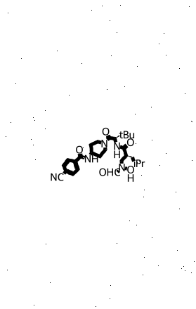 CC(C)C[C@H](CN(O)C=O)C(=O)N[C@H](C(=O)N1CCC(NC(=O)c2ccc(C#N)cc2)CC1)C(C)(C)C